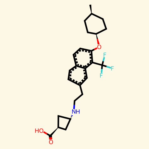 C[C@H]1CC[C@@H](Oc2ccc3ccc(CCN[C@H]4C[C@H](C(=O)O)C4)cc3c2C(F)(F)F)CC1